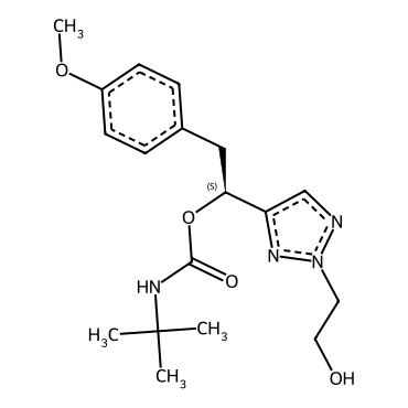 COc1ccc(C[C@H](OC(=O)NC(C)(C)C)c2cnn(CCO)n2)cc1